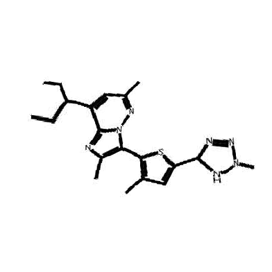 CCC(CC)c1cc(C)nn2c(-c3sc(C4N=NN(C)N4)cc3C)c(C)nc12